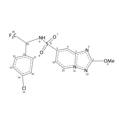 COc1nc2cc(S(=O)(=O)NC(c3ccc(Cl)cc3)C(F)(F)F)ccn2n1